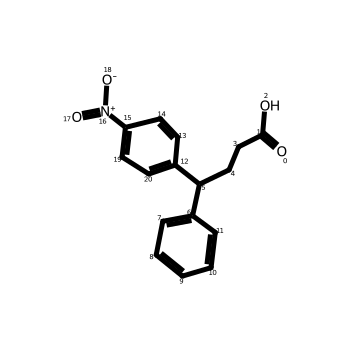 O=C(O)CCC(c1ccccc1)c1ccc([N+](=O)[O-])cc1